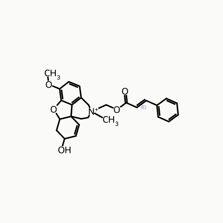 COc1ccc2c3c1OC1CC(O)C=CC31CC[N+](C)(COC(=O)/C=C/c1ccccc1)C2